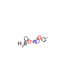 BC1=CCCC=C1OCCN1CCCC(C)(Oc2cccc(C)c2)C1